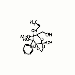 C=CC[C@]1(CO)O[C@]2(O)OCO[C@@]2(O)[C@](O)(c2ccccc2)[C@@]1(O)OC